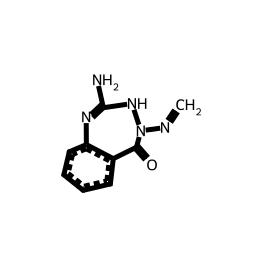 C=NN1NC(N)=Nc2ccccc2C1=O